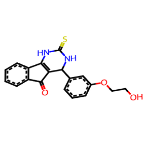 O=C1C2=C(NC(=S)NC2c2cccc(OCCO)c2)c2ccccc21